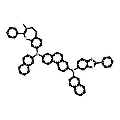 CC1=C(c2ccccc2)Oc2cc(N(c3ccc4ccccc4c3)c3ccc4c(ccc5cc(N(c6ccc7ccccc7c6)c6ccc7nc(-c8ccccc8)oc7c6)ccc54)c3)ccc2CC1